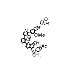 COc1cc(-c2nccc(-c3cccc(-c4ccc5c(CN(C)C6CCN(C(C)=O)CC6)cn(C)c5n4)c3Cl)c2Cl)ccc1CNC[C@@H]1CCC(=O)N1